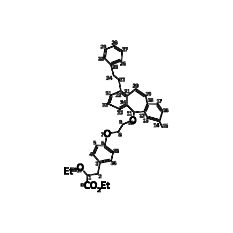 CCOC(=O)C(Cc1ccc(OCCOC2c3cc(C)ccc3C=Cc3c(CCc4ccccc4)cccc32)cc1)OCC